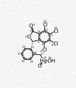 O=C1OCc2c(Cl)c(Cl)c(Cl)c(Cl)c21.[O]=[Hg]([OH])[CH2]c1ccccc1